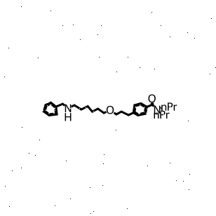 CCCN(CCC)C(=O)c1ccc(CCCOCCCCCCNCc2ccccc2)cc1